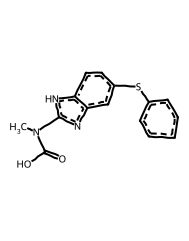 CN(C(=O)O)c1nc2cc(Sc3ccccc3)ccc2[nH]1